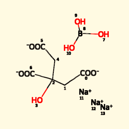 O=C([O-])CC(O)(CC(=O)[O-])C(=O)[O-].OB(O)O.[Na+].[Na+].[Na+]